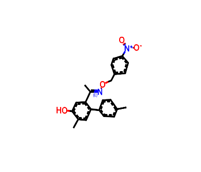 C/C(=N\OCc1ccc([N+](=O)[O-])cc1)c1cc(O)c(C)cc1-c1ccc(C)cc1